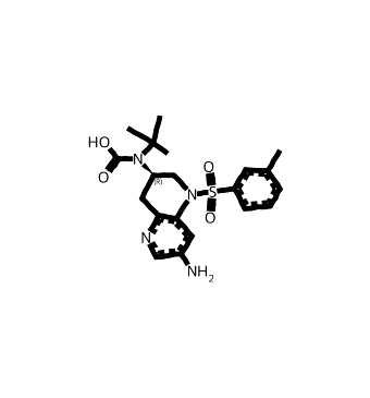 Cc1cccc(S(=O)(=O)N2C[C@H](N(C(=O)O)C(C)(C)C)Cc3ncc(N)cc32)c1